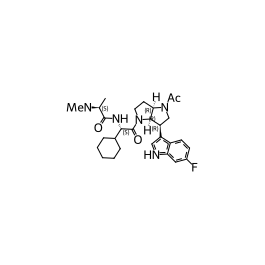 CN[C@@H](C)C(=O)N[C@H](C(=O)N1CC[C@@H]2[C@H]1[C@H](c1c[nH]c3cc(F)ccc13)CN2C(C)=O)C1CCCCC1